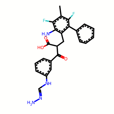 Cc1c(F)c(N)c(CC(C(=O)O)C(=O)c2cccc(NC=NN)c2)c(-c2ccccc2)c1F